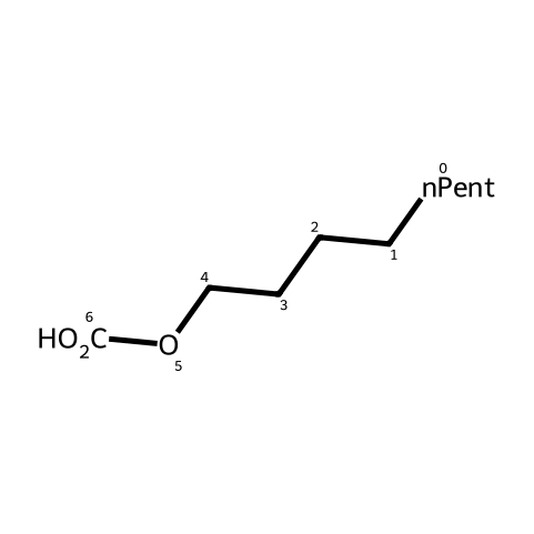 CCCCCCCCCOC(=O)O